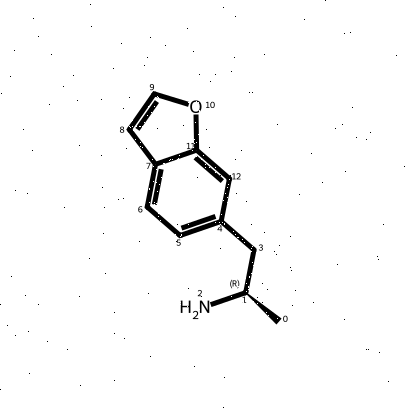 C[C@@H](N)Cc1ccc2ccoc2c1